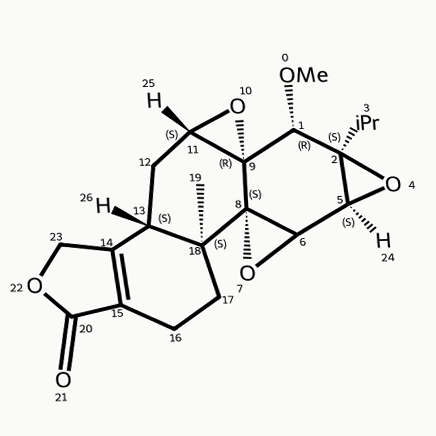 CO[C@@H]1[C@@]2(C(C)C)O[C@H]2C2O[C@]23[C@]12O[C@H]2C[C@H]1C2=C(CC[C@@]13C)C(=O)OC2